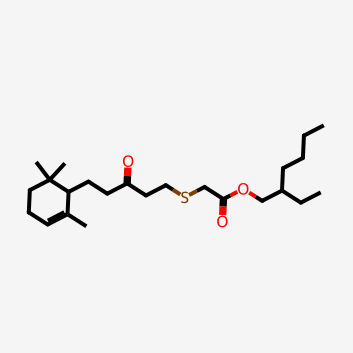 CCCCC(CC)COC(=O)CSCCC(=O)CCC1C(C)=CCCC1(C)C